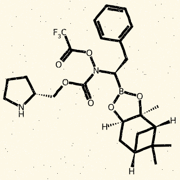 CC1(C)[C@@H]2C[C@H]3OB([C@H](Cc4ccccc4)N(OC(=O)C(F)(F)F)C(=O)OC[C@H]4CCCN4)O[C@@]3(C)[C@H]1C2